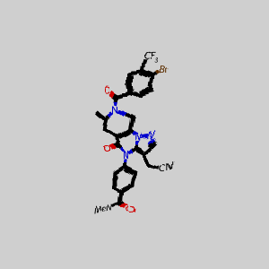 CNC(=O)c1ccc(-n2c(=O)c3c(n4ncc(CC#N)c24)CN(C(=O)c2ccc(Br)c(C(F)(F)F)c2)C(C)C3)cc1